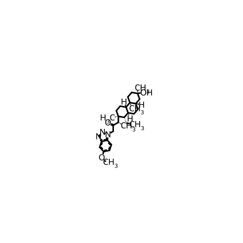 CC[C@H]1[C@@H]2CC[C@H]3C[C@](C)(O)CC[C@]3(C)[C@H]2CC[C@]1(C)[C@H](C)C(=O)Cn1nnc2cc(OC)ccc21